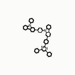 C1=CC2c3ccccc3N(C3=CC=C(c4ccc5c6ccccc6n(-c6ccccc6)c5c4)CC3)C2C=C1c1ccc(-c2nc(-c3ccccc3)cc(-c3ccccc3)n2)cc1